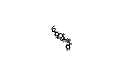 Cn1ccc(-c2ccc3c(c2)CC[C@H](NC(=O)c2nnc(Cc4ccccc4)[nH]2)C(=O)N3)n1